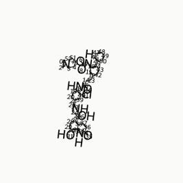 C[N+]1(C)CCC(OC(=O)Nc2cc(CCC(=O)Nc3ccc(CNC[C@H](O)c4ccc(O)c5[nH]c(=O)ccc45)cc3Cl)ccc2-c2ccccc2)CC1